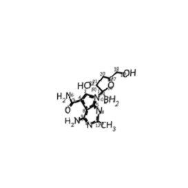 B[C@@]1(n2cc(C(N)=O)c3c(N)nc(C)nc32)O[C@H](CO)C[C@H]1O